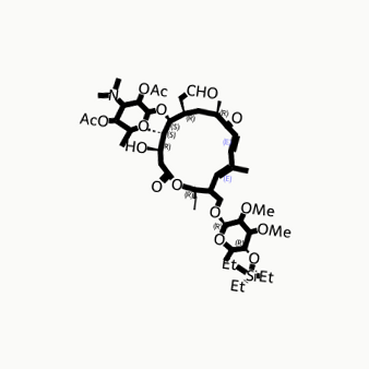 CC[Si](CC)(CC)O[C@@H]1C(C)O[C@@H](OCC2/C=C(C)/C=C/C(=O)[C@H](C)C[C@H](CC=O)[C@H](OC3OC(C)C(OC(C)=O)C(N(C)C)C3OC(C)=O)[C@@H](C)[C@H](O)CC(=O)O[C@@H]2I)C(OC)C1OC